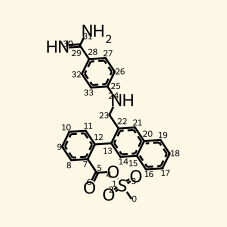 CS(=O)(=O)OC(=O)c1ccccc1-c1cc2ccccc2cc1CNc1ccc(C(=N)N)cc1